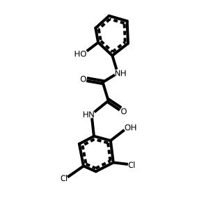 O=C(Nc1ccccc1O)C(=O)Nc1cc(Cl)cc(Cl)c1O